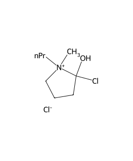 CCC[N+]1(C)CCCC1(O)Cl.[Cl-]